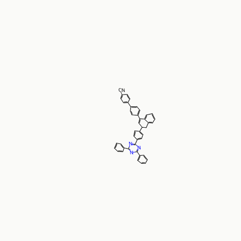 N#Cc1ccc(-c2ccc(C3=CC(c4ccc(-c5nc(-c6ccccc6)nc(-c6ccccc6)n5)cc4)Cc4ccccc43)cc2)cc1